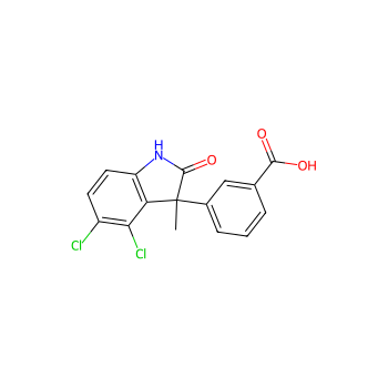 CC1(c2cccc(C(=O)O)c2)C(=O)Nc2ccc(Cl)c(Cl)c21